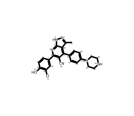 Cc1n[nH]c2nc(-c3ccc(O)c(Cl)c3)c(C#N)c(-c3ccc(N4CCNCC4)cc3)c12